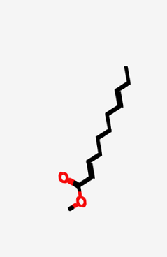 CCC=CCCCCC=CC(=O)OC